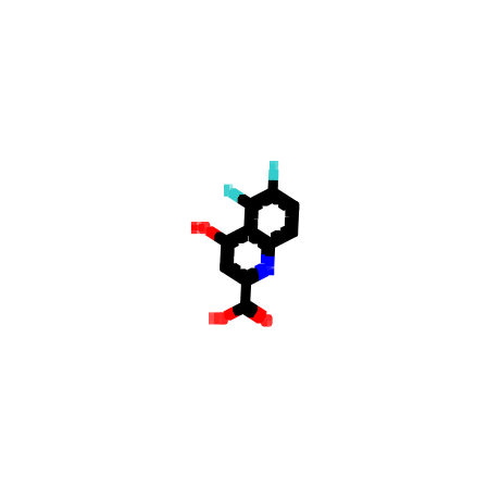 O=C(O)c1cc(O)c2c(F)c(F)ccc2n1